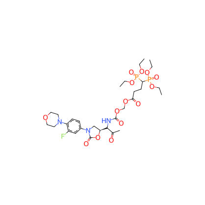 CCOP(=O)(OCC)C(CCC(=O)OCOC(=O)NC(C(C)=O)[C@@H]1CN(c2ccc(N3CCOCC3)c(F)c2)C(=O)O1)P(=O)(OCC)OCC